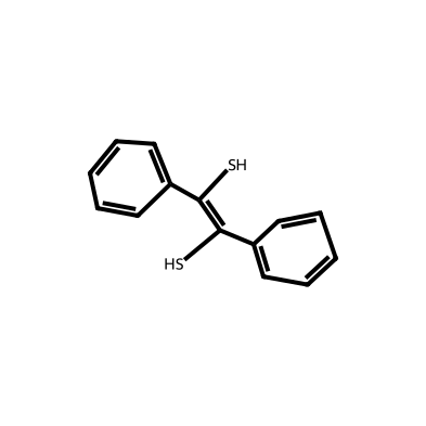 SC(=C(S)c1ccccc1)c1ccccc1